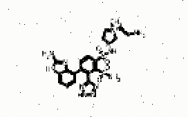 C[N+]1(CCN)CC[C@@H](NS(=O)(=O)c2ccc(-c3cccc4[nH]c(N)nc34)c(-c3nn[nH]n3)c2S(N)(=O)=O)C1